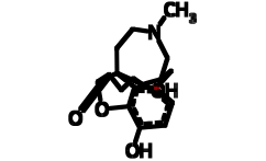 CN1CCC23c4c5ccc(O)c4OC2C(=O)CCC3(O)C(C5)C1